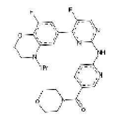 CC(C)N1CCOc2c(F)cc(-c3nc(Nc4ccc(C(=O)N5CCOCC5)cn4)ncc3F)cc21